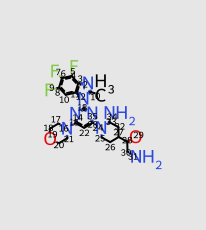 Cc1nc2c(F)c(F)c(F)cc2n1-c1nc(N2CCOCC2)cc(N2CCC(C(=O)CN)CC2N)n1